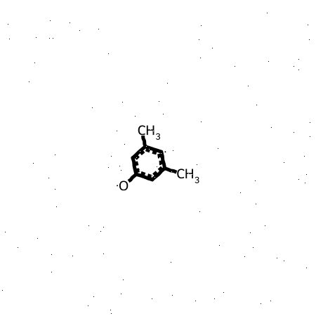 Cc1[c]c(C)cc([O])c1